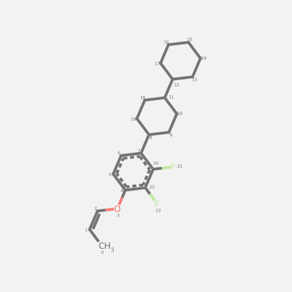 C/C=C\Oc1ccc(C2CCC(C3CCCCC3)CC2)c(F)c1F